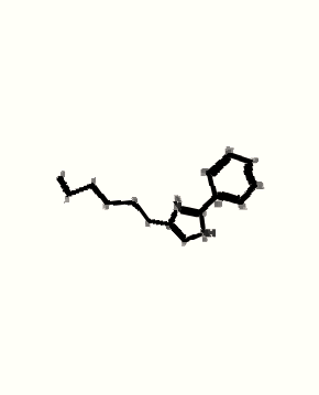 CCCCCCc1c[nH]c(-c2ccccc2)n1